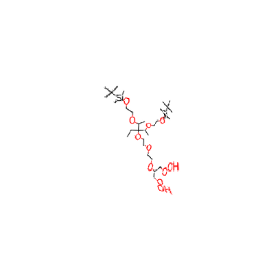 CCC(OCCOCCOC(COO)COO)(C(C)OCCO[Si](C)(C)C(C)(C)C)C(C)OCCO[Si](C)(C)C(C)(C)C